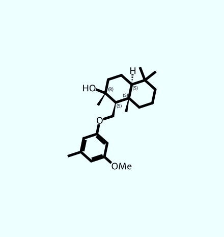 COc1cc(C)cc(OC[C@@H]2[C@@]3(C)CCCC(C)(C)[C@@H]3CC[C@@]2(C)O)c1